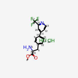 COC(=O)[C@@H](N)Cc1ccc(-c2ccnc(C(F)(F)F)c2)cc1.Cl.Cl